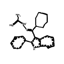 N=C(N)NN=C(c1c(-c2ccccc2)[nH]c2ccccc12)C1CCCCC1